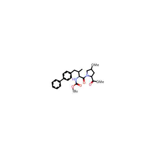 COC(=O)C1CC(OC)CN1C(=O)[C@@H](NC(=O)OC(C)(C)C)C(C)Cc1ccc(-c2ccccc2)cc1